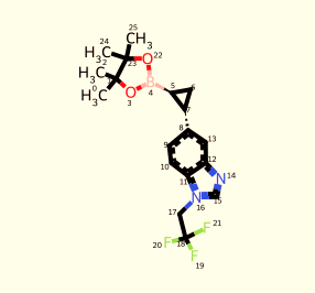 CC1(C)OB([C@H]2C[C@@H]2c2ccc3c(c2)ncn3CC(F)(F)F)OC1(C)C